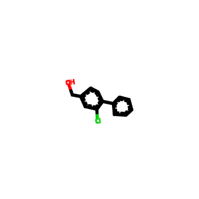 OCc1ccc(-c2ccccc2)c(Cl)c1